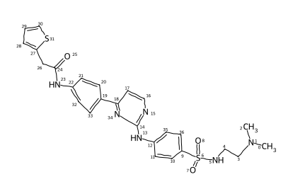 CN(C)CCNS(=O)(=O)c1ccc(Nc2nccc(-c3ccc(NC(=O)Cc4cccs4)cc3)n2)cc1